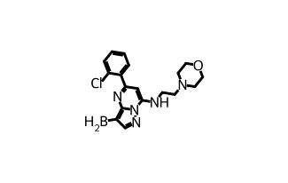 Bc1cnn2c(NCCN3CCOCC3)cc(-c3ccccc3Cl)nc12